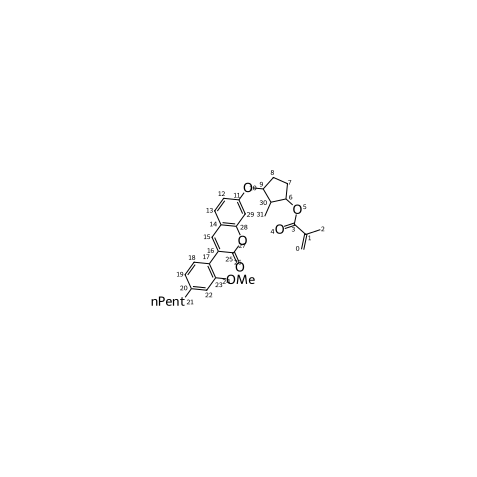 C=C(C)C(=O)OC1CCC(Oc2ccc3cc(-c4ccc(CCCCC)cc4OC)c(=O)oc3c2)C1C